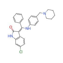 O=C1Nc2cc(Cl)ccc2C1=C(Nc1ccc(CN2CCCCC2)cc1)c1ccccc1